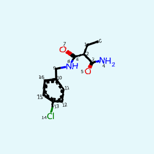 CCC(C(N)=O)C(=O)NCc1ccc(Cl)cc1